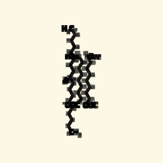 CCCCCCCCCCCCCCCCCC.CCCCCCCCCCCCCCCCCC(=O)[O-].CCCCCCCCCCCCCCCCCC(=O)[O-].[Zn+2]